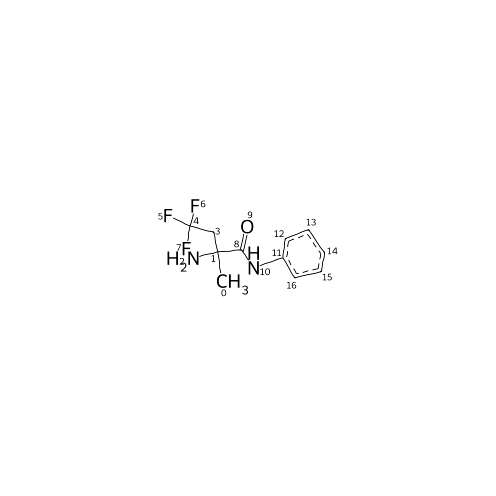 CC(N)(CC(F)(F)F)C(=O)Nc1ccccc1